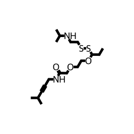 CCC(OCCOCC(=O)NCC#CC(C)C)SSCCNC(C)C